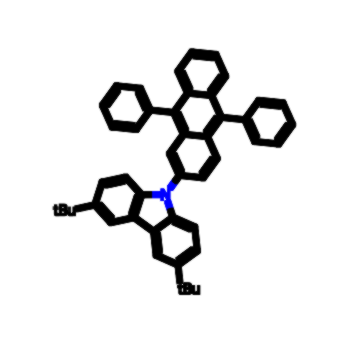 CC(C)(C)c1ccc2c(c1)c1cc(C(C)(C)C)ccc1n2-c1ccc2c(-c3ccccc3)c3ccccc3c(-c3ccccc3)c2c1